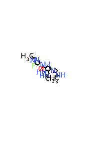 CN/C=C1\C(=N)C(C(=O)Nc2cc(F)c3nc(C)cn3c2)=CC=C1N1CCC(NC)C1